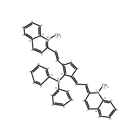 CN1/C(=C/C=C2\C=CC(/C=C/c3ccc4ccccc4[n+]3C)=C2N(c2ccccc2)c2ccccc2)C=Cc2ccccc21